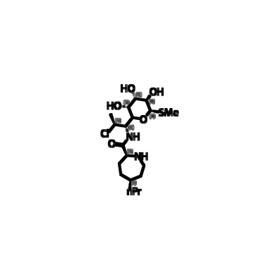 CCC[C@@H]1CCN[C@H](C(=O)N[C@@H](C2O[C@H](SC)[C@H](O)[C@@H](O)[C@H]2O)[C@H](C)Cl)CC1